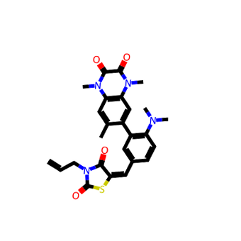 C=CCN1C(=O)SC(=Cc2ccc(N(C)C)c(-c3cc4c(cc3C)n(C)c(=O)c(=O)n4C)c2)C1=O